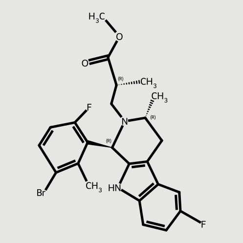 COC(=O)[C@H](C)CN1[C@H](c2c(F)ccc(Br)c2C)c2[nH]c3ccc(F)cc3c2C[C@H]1C